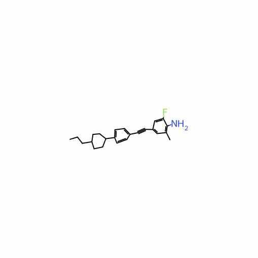 CCCC1CCC(c2ccc(C#Cc3cc(C)c(N)c(F)c3)cc2)CC1